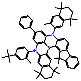 Cc1cc(C(C)(C)C)ccc1N1c2cc3c(cc2B2c4c1cc(-c1ccccc1)cc4N(c1cc4c(cc1C)C(C)(C)CCC4(C)C)c1ccc4c(c12)C(C)(C)c1ccccc1-4)C(C)(C)CCC3(C)C